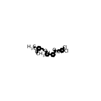 COc1ccc(CCOc2cccc(-c3cccc(C(=O)NCc4ccc(Cl)c(Cl)c4)c3)n2)cc1OC